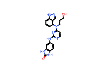 O=c1[nH]c2ccc(Nc3nccc(N(CCCO)c4cccc5[nH]ncc45)n3)cc2[nH]1